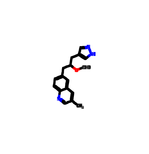 Cc1cnc2ccc(CC(Cc3cn[nH]c3)OC=O)cc2c1